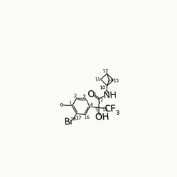 Cc1ccc(C(O)(C(=O)NC23CC(C2)C3)C(F)(F)F)cc1Br